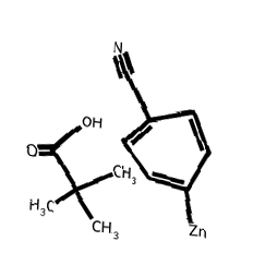 CC(C)(C)C(=O)O.N#Cc1cc[c]([Zn])cc1